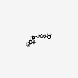 Fc1cccc(-c2nc3c([nH]2)C=NN(CCc2cc(-c4ccc(C(F)(F)F)cc4C(F)(F)F)no2)C3)c1F